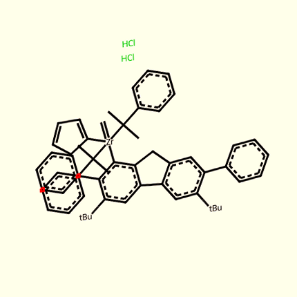 Cl.Cl.[CH2]=[Zr]([C]1=CC=CC1)([c]1c2c(cc(C(C)(C)C)c1-c1ccccc1)-c1cc(C(C)(C)C)c(-c3ccccc3)cc1C2)([C](C)(C)c1ccccc1)[C](C)(C)c1ccccc1